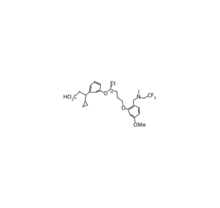 CC[C@@H](CCCOc1cc(OC)ccc1CN(C)CC(F)(F)F)Oc1cccc(C(CC(=O)O)C2CC2)c1